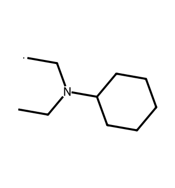 [CH2]CN(CC)C1CCCCC1